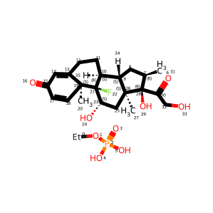 CCOP(=O)(O)O.C[C@@H]1C[C@H]2[C@@H]3CCC4=CC(=O)C=C[C@]4(C)[C@@]3(F)[C@@H](O)C[C@]2(C)[C@@]1(O)C(=O)CO